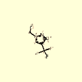 Cl.FC(F)(F)c1cnn(CCl)c1